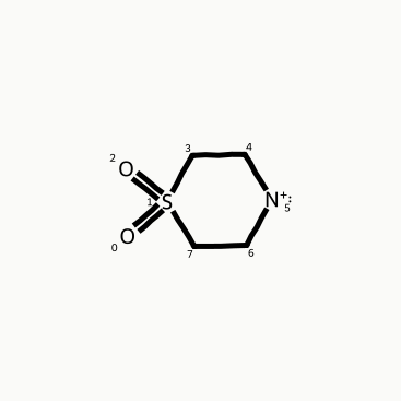 O=S1(=O)CC[N+]CC1